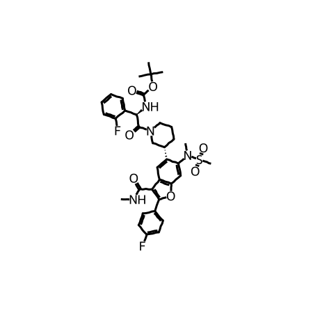 CNC(=O)c1c(-c2ccc(F)cc2)oc2cc(N(C)S(C)(=O)=O)c([C@H]3CCCN(C(=O)[C@H](NC(=O)OC(C)(C)C)c4ccccc4F)C3)cc12